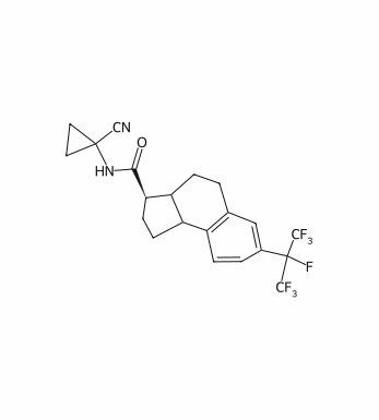 N#CC1(NC(=O)[C@@H]2CCC3c4ccc(C(F)(C(F)(F)F)C(F)(F)F)cc4CCC32)CC1